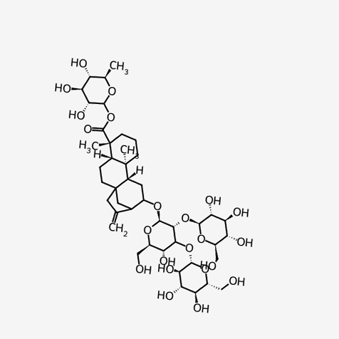 C=C1CC23CC[C@H]4[C@@](C)(CCC[C@@]4(C)C(=O)OC4O[C@H](C)[C@@H](O)[C@H](O)[C@H]4O)[C@@H]2CC(O[C@@H]2O[C@H](CO)[C@@H](O)C(O[C@@H]4O[C@H](CO)[C@@H](O)[C@H](O)[C@H]4O)[C@H]2O[C@@H]2O[C@H](CO)[C@@H](O)[C@H](O)[C@H]2O)C1C3